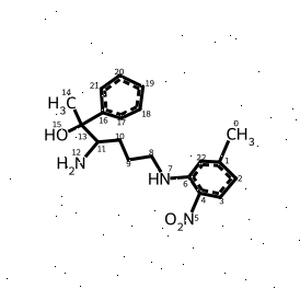 Cc1ccc([N+](=O)[O-])c(NCCCC(N)C(C)(O)c2ccccc2)c1